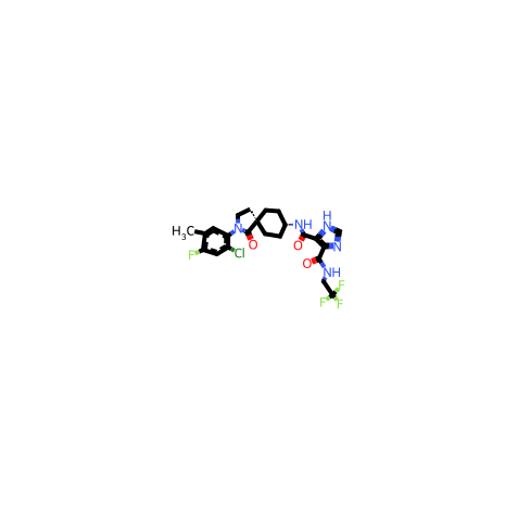 Cc1cc(N2CC[C@]3(CC[C@@H](NC(=O)c4[nH]cnc4C(=O)NCC(F)(F)F)CC3)C2=O)c(Cl)cc1F